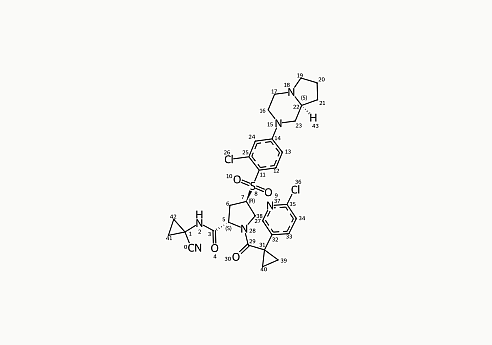 N#CC1(NC(=O)[C@@H]2C[C@@H](S(=O)(=O)c3ccc(N4CCN5CCC[C@H]5C4)cc3Cl)CN2C(=O)C2(c3ccc(Cl)nc3)CC2)CC1